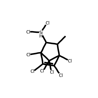 CC1C([SiH](Cl)Cl)C2(Cl)C(Cl)=C(Cl)C1(Cl)C2(Cl)Cl